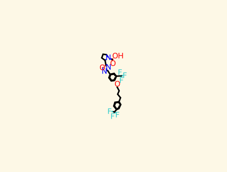 O=C(O)N1CCCC1c1nc(-c2ccc(OCCCCc3ccc(C(F)(F)F)cc3)c(C(F)(F)F)c2)no1